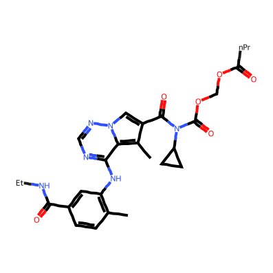 CCCC(=O)OCOC(=O)N(C(=O)c1cn2ncnc(Nc3cc(C(=O)NCC)ccc3C)c2c1C)C1CC1